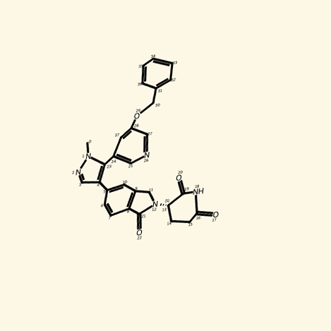 Cn1ncc(-c2ccc3c(c2)CN([C@H]2CCC(=O)NC2=O)C3=O)c1-c1cncc(OCc2ccccc2)c1